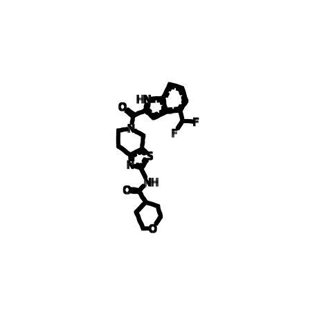 O=C(Nc1nc2c(s1)CN(C(=O)c1cc3c(C(F)F)cccc3[nH]1)CC2)C1CCOCC1